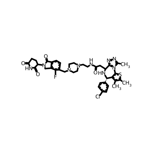 Cc1sc2c(c1C)[C@H](c1ccc(Cl)cc1)NC(CC(=O)NCCN1CCN(Cc3ccc4c(c3F)CN(C3CCC(=O)NC3=O)C4=O)CC1)c1nnc(C)n1-2